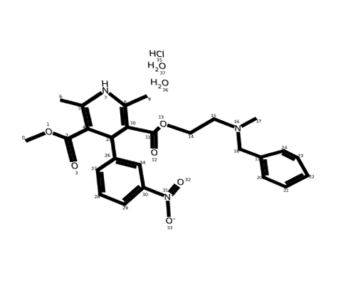 COC(=O)C1=C(C)NC(C)=C(C(=O)OCCN(C)Cc2ccccc2)C1c1cccc([N+](=O)[O-])c1.Cl.O.O